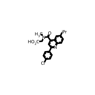 CC(C)c1ccc2nc(-c3ccc(Cl)cc3)cc(C(=O)N(C)CC(=O)O)c2c1